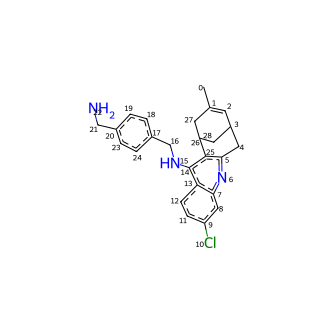 CC1=CC2Cc3nc4cc(Cl)ccc4c(NCc4ccc(CN)cc4)c3C(C1)C2